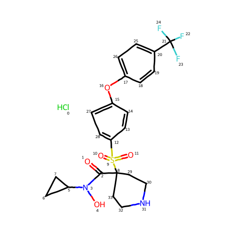 Cl.O=C(N(O)C1CC1)C1(S(=O)(=O)c2ccc(Oc3ccc(C(F)(F)F)cc3)cc2)CCNCC1